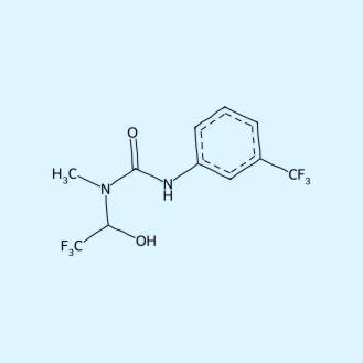 CN(C(=O)Nc1cccc(C(F)(F)F)c1)C(O)C(F)(F)F